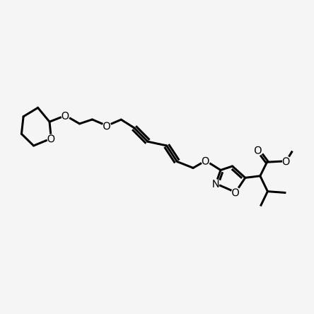 COC(=O)C(c1cc(OCC#CC#CCOCCOC2CCCCO2)no1)C(C)C